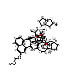 COCOc1cc(-c2nc3c4c(nc(OC[C@]56CCCN5C[C@@H](F)C6)nc4c2F)N2C[C@H]4CC[C@@H]([C@H]2CO3)N4C(=O)OC(C)(C)C)c2c(C#C[Si](C(C)C)(C(C)C)C(C)C)cccc2c1